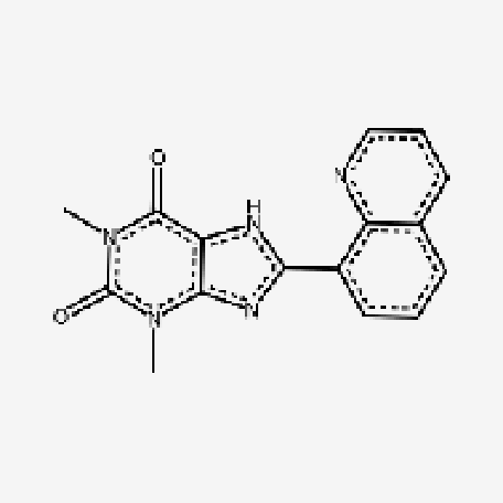 Cn1c(=O)c2[nH]c(-c3cccc4cccnc34)nc2n(C)c1=O